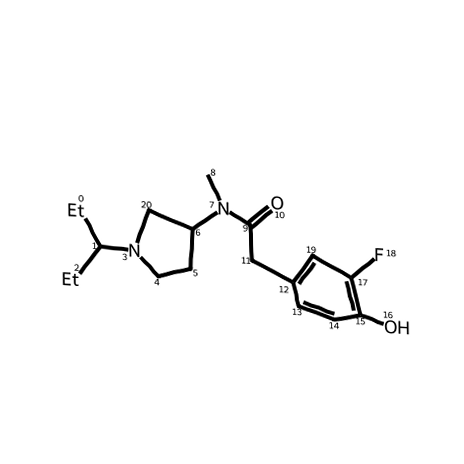 CCC(CC)N1CCC(N(C)C(=O)Cc2ccc(O)c(F)c2)C1